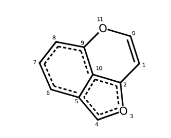 C1=Cc2occ3cccc(c23)O1